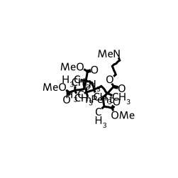 CCCCCC(C)(C)C(C)(CC(C)(CC(C)(C)C(=O)OC)C(=O)OC)CC(C)(CC(C)C(=O)OC)C(=O)OCCCNC